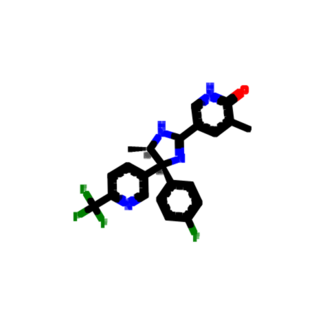 Cc1cc(C2=N[C@](c3ccc(F)cc3)(c3ccc(C(F)(F)F)nc3)[C@H](C)N2)c[nH]c1=O